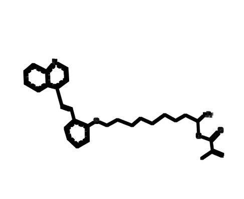 C=C(C)C(=O)OC(CCC)CCCCCCCCOc1ccccc1C=Cc1ccnc2ccccc12